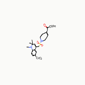 COC(=O)C1CCN(S(=O)(=O)CC2=CC(C)(C)N(C)c3ccc(C=O)cc32)CC1